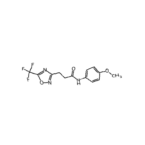 COc1ccc(NC(=O)CCc2noc(C(F)(F)F)n2)cc1